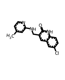 Cc1ccnc(NCc2cc3cc(Cl)ccc3[nH]c2=O)c1